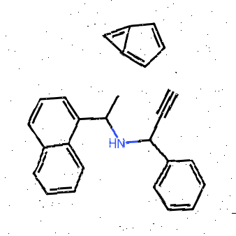 C#CC(NC(C)c1cccc2ccccc12)c1ccccc1.c1cc2cc-2c1